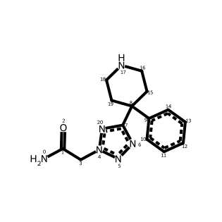 NC(=O)Cn1nnc(C2(c3ccccc3)CCNCC2)n1